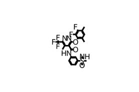 Cc1cc(C)c(Oc2nnc(C(F)(F)F)c(C)c2C(=O)Nc2cccc(S(C)(=N)=O)c2)c(F)c1F